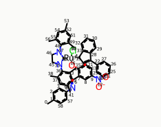 Cc1ccc(N=Cc2cc([N+](=O)[O-])ccc2[O][Ru-4]([Cl])(=[C]2C=C(c3ccccc3)c3ccccc32)=[C]2N(c3c(C)cc(C)cc3C)CCN2c2c(C)cc(C)cc2C)cc1